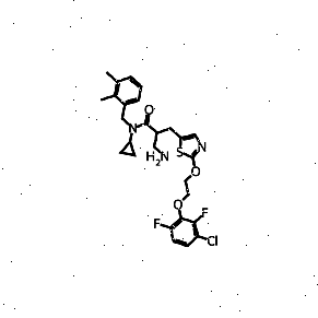 Cc1cccc(CN(C(=O)C(CN)Cc2cnc(OCCOc3c(F)ccc(Cl)c3F)s2)C2CC2)c1C